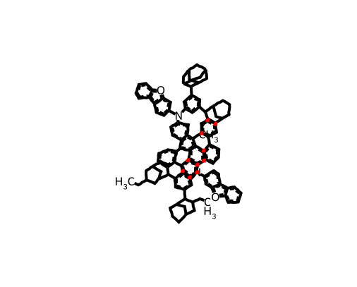 CCC1CC2CCC(c3cc(C4C(CC)CC5CCCC4C5)cc(N(c4ccc5c(c4)oc4ccccc45)c4ccc5c(-c6ccccc6-c6ccccc6)c6cc(N(c7cc(C8C(CC)CC9CCCC8C9)cc(C8C9CC%10CC(C9)CC8C%10)c7)c7ccc8c(c7)oc7ccccc78)ccc6c(-c6ccccc6-c6ccccc6)c5c4)c3)C(C1)C2